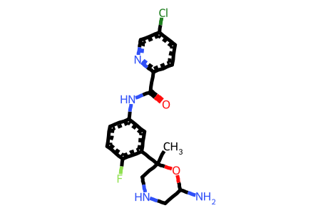 CC1(c2cc(NC(=O)c3ccc(Cl)cn3)ccc2F)CNCC(N)O1